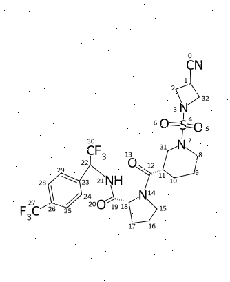 N#CC1CN(S(=O)(=O)N2CCC[C@H](C(=O)N3CCC[C@@H]3C(=O)NC(c3ccc(C(F)(F)F)cc3)C(F)(F)F)C2)C1